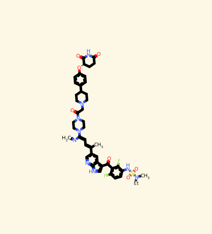 C=N/C(=C\C=C(/C)c1cnc2[nH]cc(C(=O)c3c(F)ccc(NS(=O)(=O)N(C)CC)c3F)c2c1)N1CCN(C(=O)CN2CCC(c3ccc(O[C@H]4CCC(=O)NC4=O)cc3)CC2)CC1